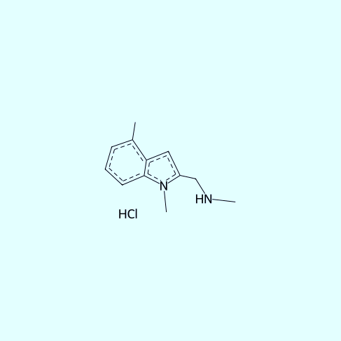 CNCc1cc2c(C)cccc2n1C.Cl